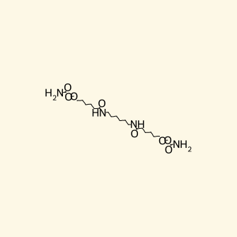 NC(=O)OOCCCCCC(=O)NCCCCCCNC(=O)CCCCCOOC(N)=O